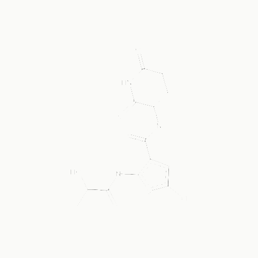 CC(O)C(=O)Nc1sc(Cl)cc1C(=O)NC1CCC(=O)NC1=O